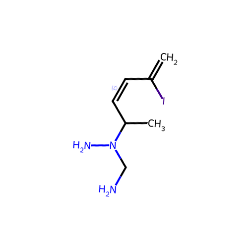 C=C(I)/C=C\C(C)N(N)CN